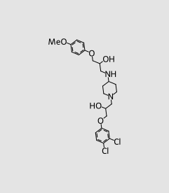 COc1ccc(OCC(O)CNC2CCN(CC(O)COc3ccc(Cl)c(Cl)c3)CC2)cc1